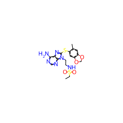 CCS(=O)(=O)NCCn1c(Sc2cc3c(cc2C)OCO3)nc2c(N)ncnc21